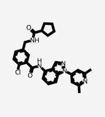 Cc1cc(-n2ncc3c(NC(=O)c4cc(CNC(=O)C5CCCC5)ccc4Cl)cccc32)cc(C)n1